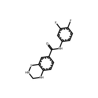 O=C(Nc1ccc(F)c(F)c1)c1ccc2c(c1)SNCN2